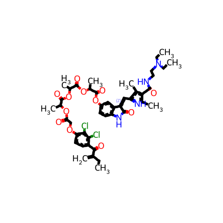 C=C(CC)C(=O)c1ccc(OCC(=O)OC(C)C(=O)OC(C)C(=O)OC(C)C(=O)Oc2ccc3c(c2)/C(=C/c2[nH]c(C)c(C(=O)NCCN(CC)CC)c2C)C(=O)N3)c(Cl)c1Cl